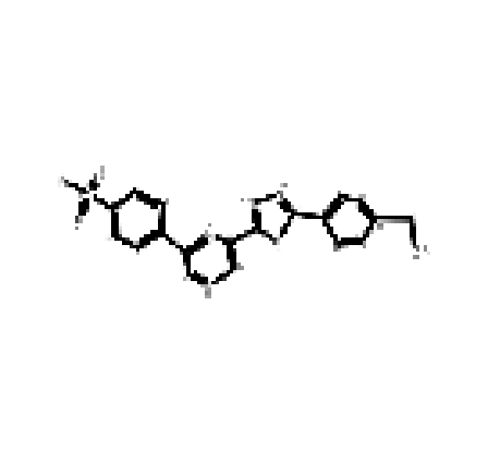 CC(C)S(=O)(=O)c1ccc(-c2cncc(-c3nnc(-c4ccc(CN)cc4)o3)n2)cc1